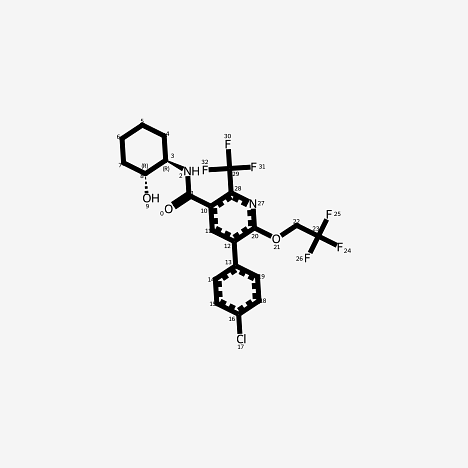 O=C(N[C@@H]1CCCC[C@H]1O)c1cc(-c2ccc(Cl)cc2)c(OCC(F)(F)F)nc1C(F)(F)F